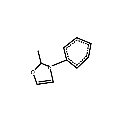 CC1OC=CN1c1ccccc1